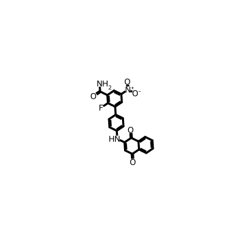 NC(=O)c1cc([N+](=O)[O-])cc(-c2ccc(NC3=CC(=O)c4ccccc4C3=O)cc2)c1F